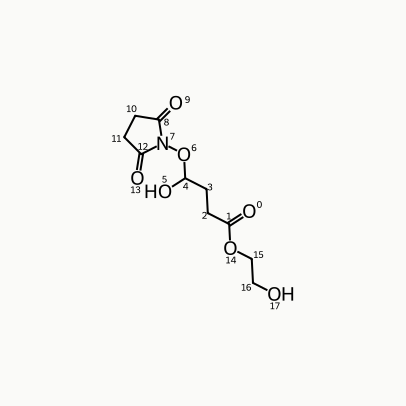 O=C(CCC(O)ON1C(=O)CCC1=O)OCCO